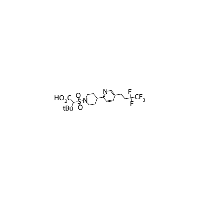 CC(C)(C)C(C(=O)O)S(=O)(=O)N1CCC(c2ccc(CCC(F)(F)C(F)(F)F)cn2)CC1